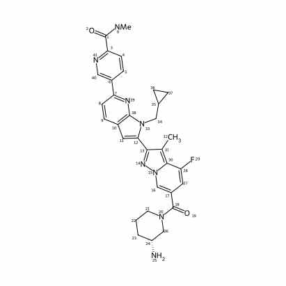 CNC(=O)c1ccc(-c2ccc3cc(-c4nn5cc(C(=O)N6CCC[C@@H](N)C6)cc(F)c5c4C)n(CC4CC4)c3n2)cn1